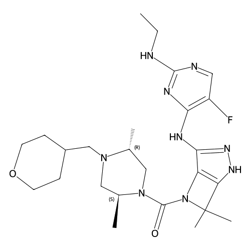 CCNc1ncc(F)c(Nc2n[nH]c3c2N(C(=O)N2C[C@@H](C)N(CC4CCOCC4)C[C@@H]2C)C3(C)C)n1